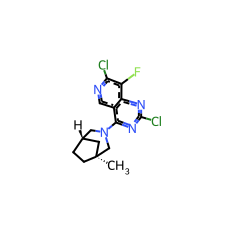 C[C@@]12CC[C@H](CN(c3nc(Cl)nc4c(F)c(Cl)ncc34)C1)C2